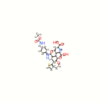 CC(C)(C)OC(=O)NCc1ccc(NC(=O)c2cc3c(cc2-c2ccc(C(=O)O)nc2C(=O)O)OCCc2ccsc2-3)cc1